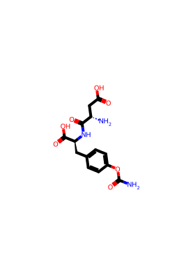 NC(=O)Oc1ccc(C[C@H](NC(=O)[C@@H](N)CC(=O)O)C(=O)O)cc1